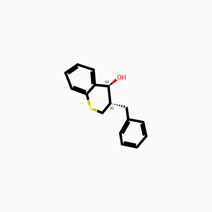 O[C@@H]1c2ccccc2SC[C@H]1Cc1ccccc1